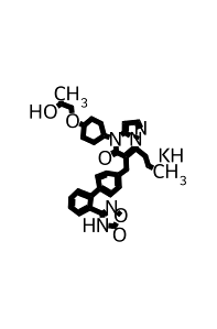 CCCc1c(Cc2ccc(-c3ccccc3-c3noc(=O)[nH]3)cc2)c(=O)n(C2CCC(OCC(C)O)CC2)c2ccnn12.[KH]